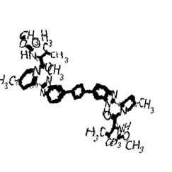 COC(=O)N[C@H](C(=O)N1C[C@@H](C)C[C@H]1c1nc2ccc(-c3ccc(-c4ccc5nc([C@@H]6C[C@H](C)CN6C(=O)[C@@H](NC(=O)OC)C(C)C)n(C)c5c4)cc3)cc2[nH]1)C(C)C